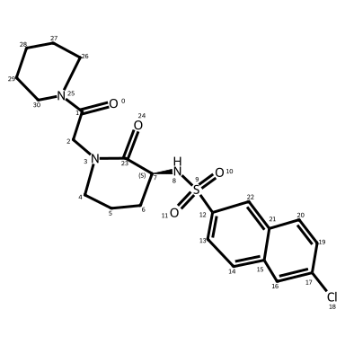 O=C(CN1CCC[C@H](NS(=O)(=O)c2ccc3cc(Cl)ccc3c2)C1=O)N1CCCCC1